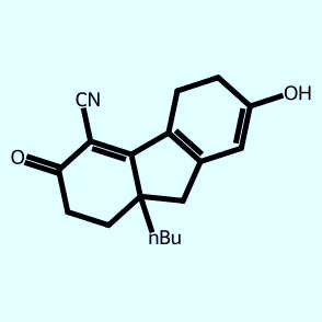 CCCCC12CCC(=O)C(C#N)=C1C1=C(C=C(O)CC1)C2